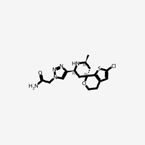 C[C@H]1C[C@@]2(C[C@@H](c3cn(CC(N)=O)nn3)N1)OCCc1cc(Cl)sc12